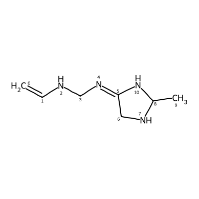 C=CNC/N=C1\CNC(C)N1